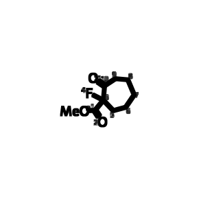 COC(=O)C1(F)CCCCCC1=O